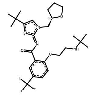 CC(C)(C)NCCOc1ccc(C(F)(F)F)cc1C(=O)N=c1sc(C(C)(C)C)cn1C[C@H]1CCCO1